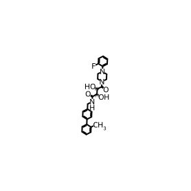 Cc1ccccc1-c1ccc(CNC(=O)[C@H](O)[C@@H](O)C(=O)N2CCN(c3ccccc3F)CC2)cc1